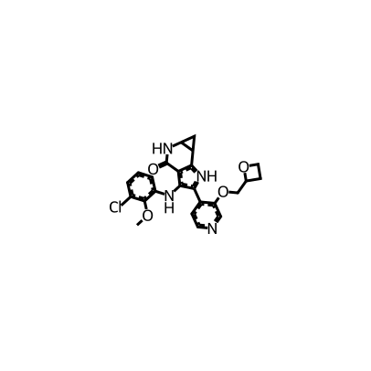 COc1c(Cl)cccc1Nc1c(-c2ccncc2OCC2CCO2)[nH]c2c1C(=O)NC1CC21